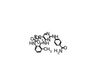 Cc1cccc(NS(C)(=O)=O)c1CNc1nc(Nc2ccc(C(N)=O)cc2)ncc1C(F)(F)F